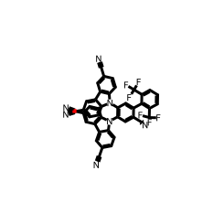 N#Cc1ccc2c(c1)c1cc(C#N)ccc1n2-c1cc(C#N)c(-c2c(C(F)(F)F)cccc2C(F)(F)F)cc1-n1c2ccc(C#N)cc2c2cc(C#N)ccc21